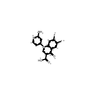 Nc1cc(-n2cc(C(=O)O)c(=O)c3cc(F)c(F)cc32)ccn1